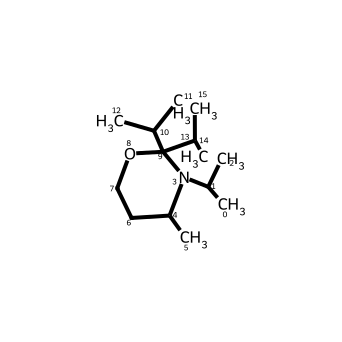 CC(C)N1C(C)CCOC1(C(C)C)C(C)C